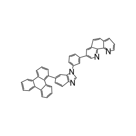 c1cc(-c2cnc3c(ccc4cccnc43)c2)cc(-n2cnc3ccc(-c4cccc5c6ccccc6c6ccccc6c45)cc32)c1